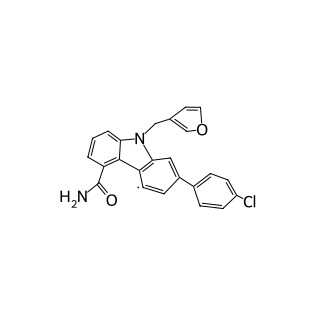 NC(=O)c1cccc2c1c1[c]cc(-c3ccc(Cl)cc3)cc1n2Cc1ccoc1